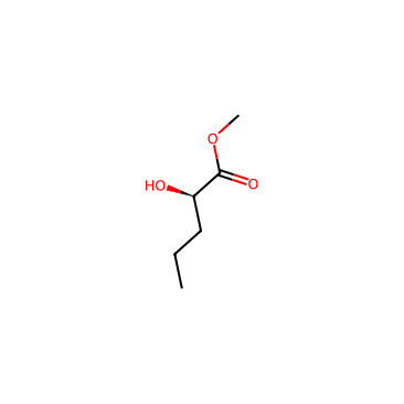 CCC[C@@H](O)C(=O)OC